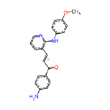 COc1ccc(Nc2ncccc2/C=C/C(=O)c2ccc(N)cc2)cc1